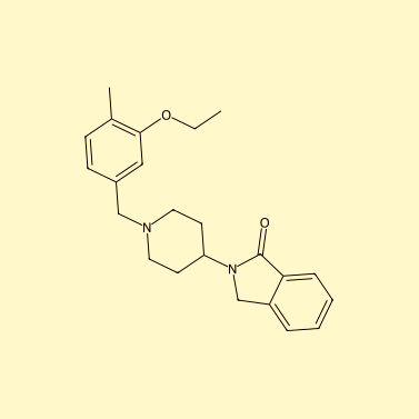 CCOc1cc(CN2CCC(N3Cc4ccccc4C3=O)CC2)ccc1C